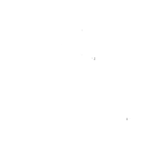 CC(C)c1ccc(S(=O)(=O)NC(=O)C(Br)c2ccc3c(c2)OCO3)cc1